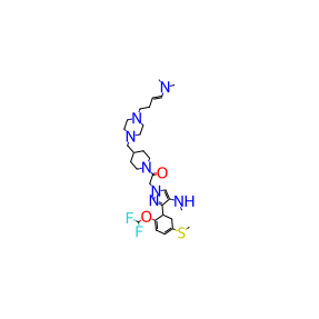 CNc1cn(CC(=O)N2CCC(CN3CCN(CC/C=C/N(C)C)CC3)CC2)nc1C1CC(SC)=CC=C1OC(F)F